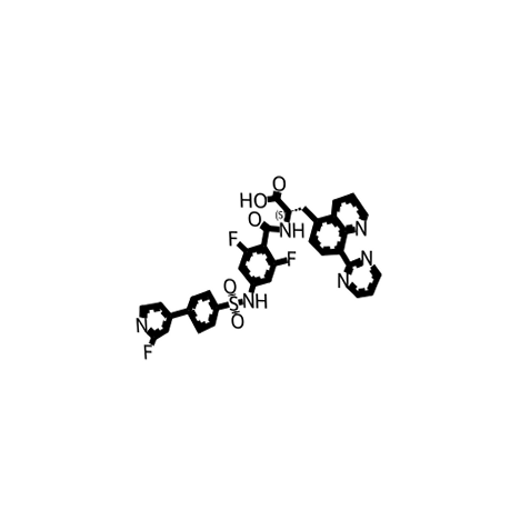 O=C(N[C@@H](Cc1ccc(-c2ncccn2)c2ncccc12)C(=O)O)c1c(F)cc(NS(=O)(=O)c2ccc(-c3ccnc(F)c3)cc2)cc1F